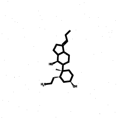 CCC=C1CCC2C1CCC([C@@]1(C)CC[C@H](O)C[C@@H]1CCN)[C@H]2O